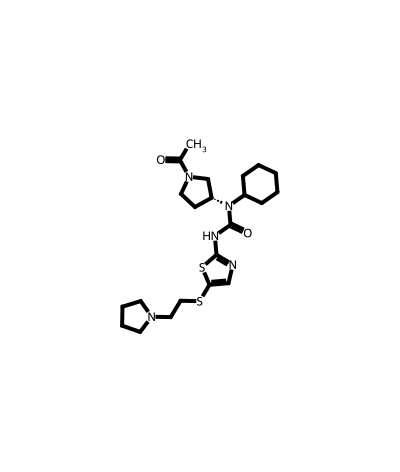 CC(=O)N1CC[C@@H](N(C(=O)Nc2ncc(SCCN3CCCC3)s2)C2CCCCC2)C1